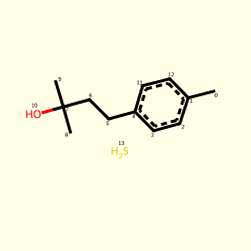 Cc1ccc(CCC(C)(C)O)cc1.S